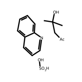 CC(=O)CC(C)(C)O.O=S(=O)(O)O.c1ccc2ncccc2c1